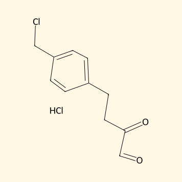 Cl.O=CC(=O)CCc1ccc(CCl)cc1